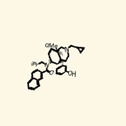 CO[C@]12CC[C@@H](N(CC(C)C)C(=O)c3ccc4ccccc4c3)C[C@]1(c1cccc(O)c1)CCN(CC1CC1)C2